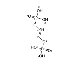 O=P(O)(O)OC=[SH]OP(=O)(O)O